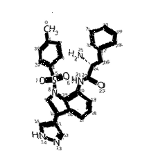 Cc1ccc(S(=O)(=O)n2cc(-c3cn[nH]c3)c3cccc(NC(=O)[C@H](N)Cc4ccccc4)c32)cc1